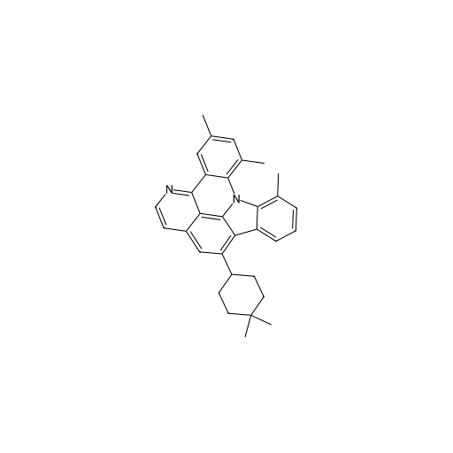 Cc1cc(C)c2c(c1)c1nccc3cc(C4CCC(C)(C)CC4)c4c5cccc(C)c5n2c4c31